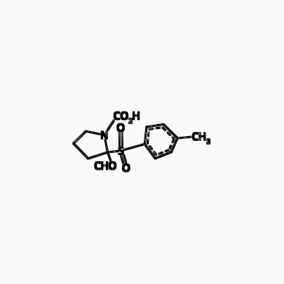 Cc1ccc(S(=O)(=O)C2(C=O)CCCN2C(=O)O)cc1